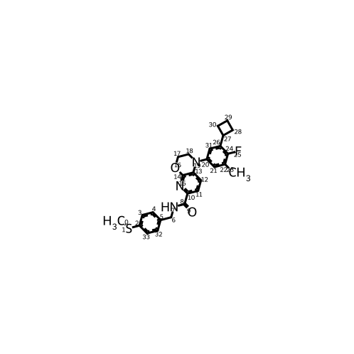 CSc1ccc(CNC(=O)c2ccc3c(n2)OCCN3c2cc(C)c(F)c(C3CCC3)c2)cc1